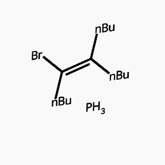 CCCCC(Br)=C(CCCC)CCCC.P